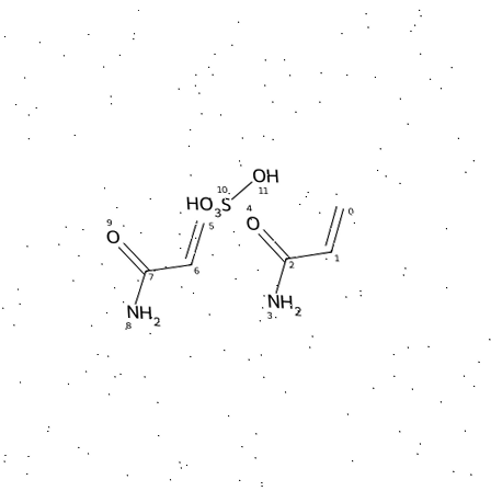 C=CC(N)=O.C=CC(N)=O.O=S(=O)(O)O